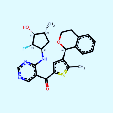 [CH2][C@@H]1C[C@@H](Nc2ncncc2C(=O)c2cc([C@H]3OCCc4ccccc43)c(C)s2)[C@@H](F)[C@@H]1O